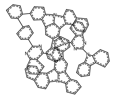 c1ccc(-c2ccc3c(c2)c2cc4c5ccccc5n(-c5nc(-n6c7ccccc7c7ccccc76)nc6ccccc56)c4c4c5c6ccccc6ccc5n3c24)c(-c2ccc(-c3nc(-n4c5ccccc5c5cc6c7ccccc7n7c8ccc9ccccc9c8c(c54)c67)c4ccccc4n3)cc2)c1